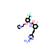 Nc1ncc(C#Cc2ccc(F)c(C(=O)Nc3cc(C(F)(F)F)ccc3OCCN3CCCC3)c2)cn1